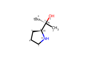 CC(C)(C)[C@@](C)(O)[C@@H]1CCCN1